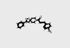 CC(C)c1ccc(/C=C/C(=O)N2CCC3(CC2)CC(c2ccccc2)=NO3)cc1